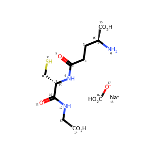 N[C@@H](CCC(=O)N[C@@H](CS)C(=O)NCC(=O)O)C(=O)O.O=C([O-])O.[Na+]